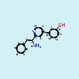 NC(Cc1ccccc1)c1cc(-c2cccc(O)c2)ccn1